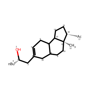 CCCC[C@H](O)CC1=CCC2C(CC[C@@]3(C)C2CC[C@@H]3C(C)=O)C1